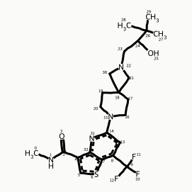 CNC(=O)c1csc2c(C(F)(F)F)cc(N3CCC4(CC3)CN(CC(O)C(C)(C)C)C4)nc12